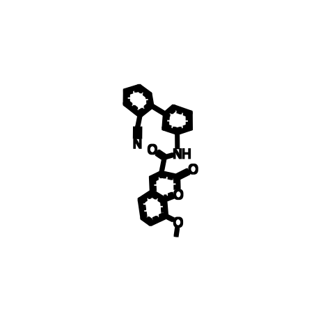 COc1cccc2cc(C(=O)Nc3cccc(-c4ccccc4C#N)c3)c(=O)oc12